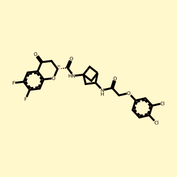 O=C(COc1ccc(Cl)c(Cl)c1)NC1CC2(NC(=O)[C@H]3CC(=O)c4cc(F)c(F)cc4O3)CC1C2